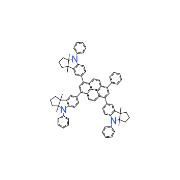 CC12CCCC1(C)N(c1ccccc1)c1ccc(-c3cc(-c4ccccc4)c4ccc5c(-c6ccc7c(c6)C6(C)CCCC6(C)N7c6ccccc6)cc(-c6ccc7c(c6)C6(C)CCCC6(C)N7c6ccccc6)c6ccc3c4c56)cc12